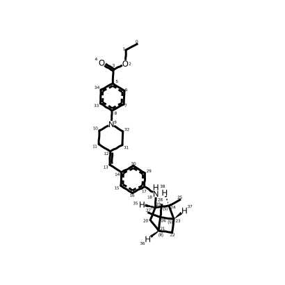 CCOC(=O)c1ccc(N2CCC(=Cc3ccc(N[C@H]4C[C@H]5C[C@@H]([C@@H]4C)C5(C)C)cc3)CC2)cc1